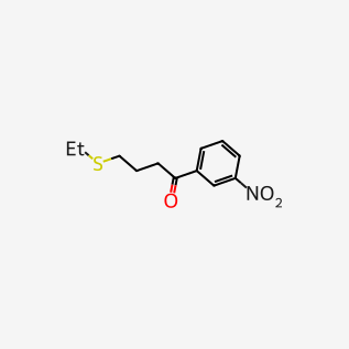 CCSCCCC(=O)c1cccc([N+](=O)[O-])c1